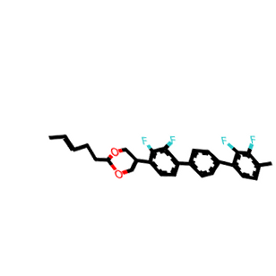 C/C=C/CCC1OCC(c2ccc(-c3ccc(-c4ccc(C)c(F)c4F)cc3)c(F)c2F)CO1